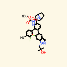 CC(C)(O)Cn1ncc2cc(-c3ccc(C(=O)N4C5CCC4CC(NC(=O)OC(C)(C)C)C5)cc3-c3ccc(C#N)c(F)c3)c(F)cc21